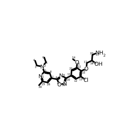 CCN(CC)c1cc(-c2nc(-c3cc(Cl)c(OCC(O)CN)c(OC)c3)no2)cc(C)n1